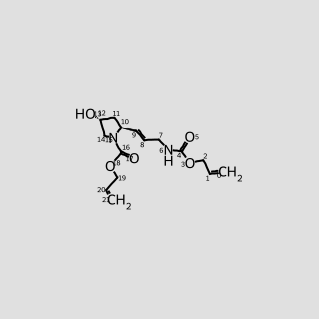 C=CCOC(=O)NC/C=C/[C@@H]1C[C@@H](O)CN1C(=O)OCC=C